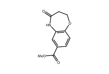 COC(=O)c1ccc2c(c1)NC(=O)CCO2